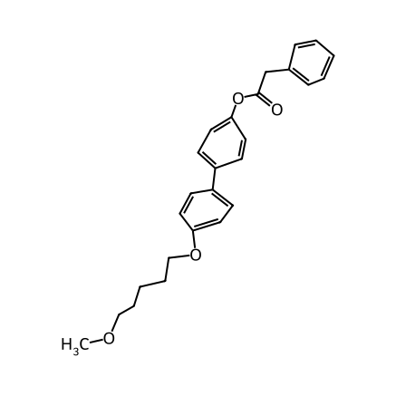 COCCCCCOc1ccc(-c2ccc(OC(=O)Cc3ccccc3)cc2)cc1